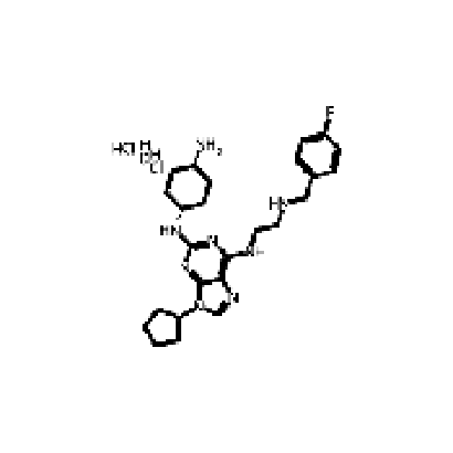 Cl.Cl.Cl.N[C@H]1CC[C@H](Nc2nc(NCCNCc3ccc(F)cc3)c3ncn(C4CCCC4)c3n2)CC1